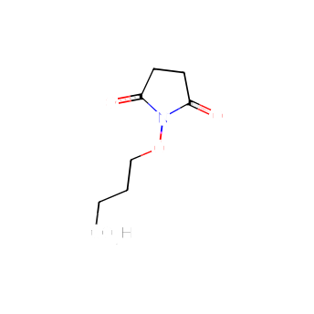 O=C(O)CCCON1C(=O)CCC1=O